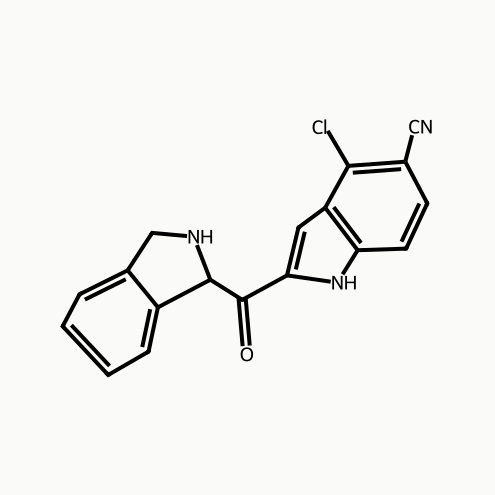 N#Cc1ccc2[nH]c(C(=O)C3NCc4ccccc43)cc2c1Cl